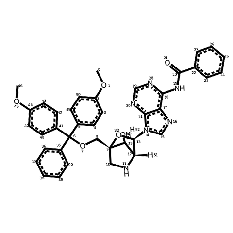 COc1ccc(C(OC[C@@]23CN[C@@H]([C@H](n4cnc5c(NC(=O)c6ccccc6)ncnc54)O2)[C@@H]3O)(c2ccccc2)c2ccc(OC)cc2)cc1